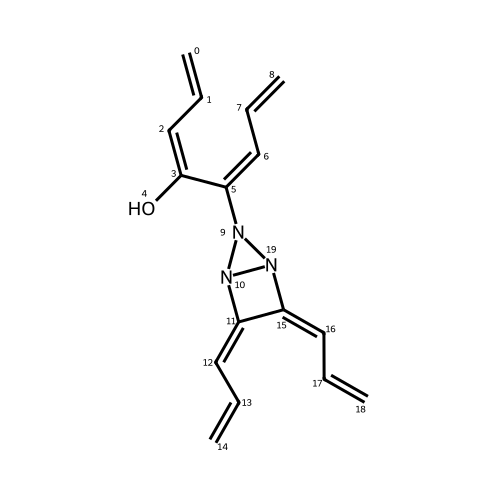 C=C/C=C(O)\C(=C/C=C)n1n2c(=C/C=C)/c(=C\C=C)n12